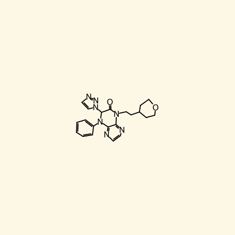 O=C1C(n2ccnn2)N(c2ccccc2)c2nccnc2N1CCC1CCOCC1